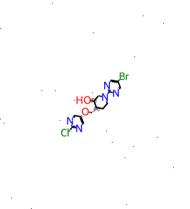 O[C@H]1CN(c2ncc(Br)cn2)CC[C@@H]1COc1cnc(Cl)nc1